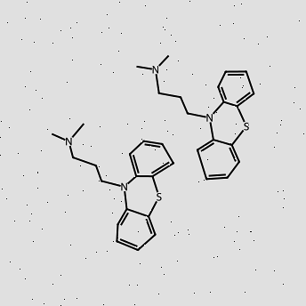 CN(C)CCCN1c2ccccc2Sc2ccccc21.CN(C)CCCN1c2ccccc2Sc2ccccc21